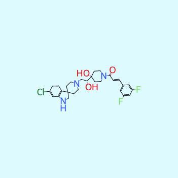 O=C(/C=C/c1cc(F)cc(F)c1)N1CCC(O)([C@H](O)CN2CCC3(CC2)CNc2cc(Cl)ccc23)CC1